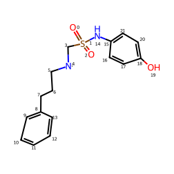 O=S(=O)(C[N]CCCc1ccccc1)Nc1ccc(O)cc1